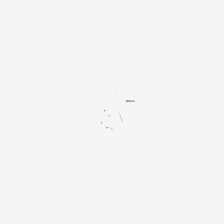 Cn1nc(Br)cc1C(=O)OC(C)(C)C